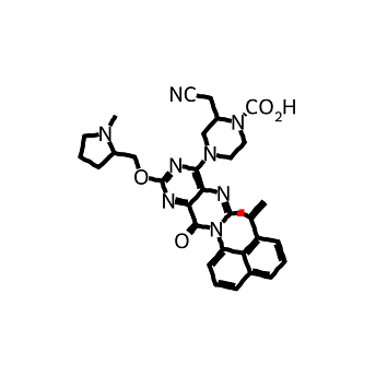 C=C(C)c1cccc2cccc(-n3c(C)nc4c(N5CCN(C(=O)O)C(CC#N)C5)nc(OCC5CCCN5C)nc4c3=O)c12